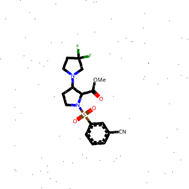 COC(=O)C1C(N2CCC(F)(F)C2)CCN1S(=O)(=O)c1cccc(C#N)c1